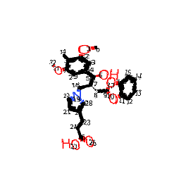 COc1cc([C@@H](O)[C@H](CC2Oc3ccccc3O2)Cn2ccc(CCC(=O)O)c2)cc(OC)c1C